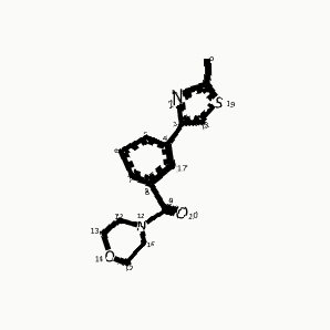 Cc1nc(-c2cccc(C(=O)N3CCOCC3)c2)cs1